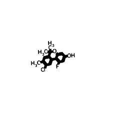 Cc1cc2c(cc1Cl)-c1c(F)cc(O)cc1OC2(C)C